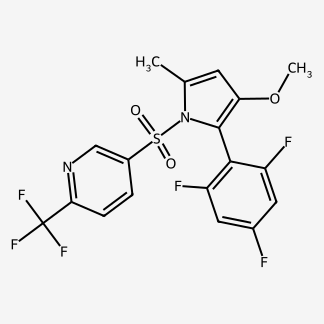 COc1cc(C)n(S(=O)(=O)c2ccc(C(F)(F)F)nc2)c1-c1c(F)cc(F)cc1F